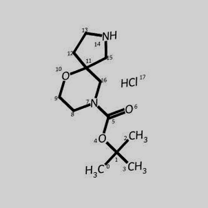 CC(C)(C)OC(=O)N1CCOC2(CCNC2)C1.Cl